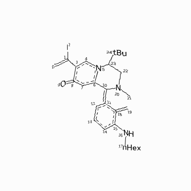 C=C(C)c1cn2c(cc1=O)/C(=c1\cccc(NCCCCCC)c1=C)N(C)CC2C(C)(C)C